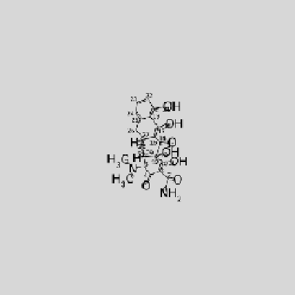 CN(C)[C@@H]1C(=O)C(C(N)=O)=C(O)[C@@]2(O)C(=O)C3=C(O)c4c(O)cccc4C[C@H]3C[C@@H]12